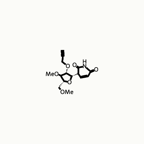 C#CCO[C@H]1C(OC)[C@@H](COC)O[C@H]1C1C=CC(=O)NC1=O